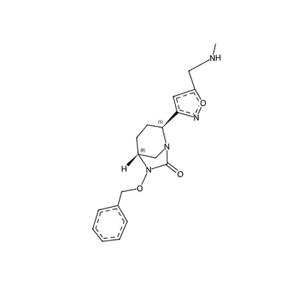 CNCc1cc([C@@H]2CC[C@@H]3CN2C(=O)N3OCc2ccccc2)no1